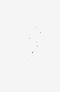 [2H]N([2H])C([2H])(C)Cc1ccccc1